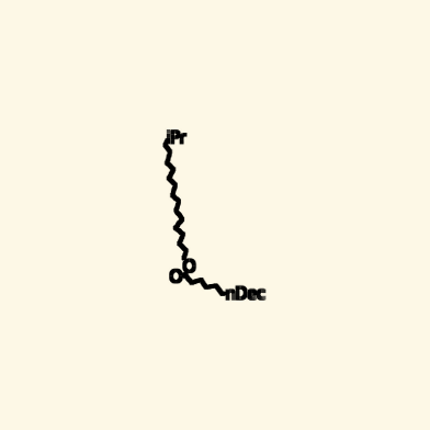 CCCCCCCCCCCCCCCC(=O)OCCCCCCCCCCCCCCCC(C)C